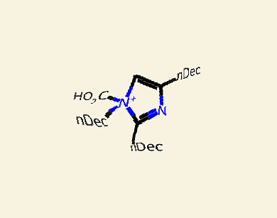 CCCCCCCCCCC1=C[N+](CCCCCCCCCC)(C(=O)O)C(CCCCCCCCCC)=N1